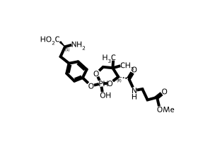 COC(=O)CCNC(=O)[C@@H]1O[PH](O)(Oc2ccc(C[C@H](N)C(=O)O)cc2)OCC1(C)C